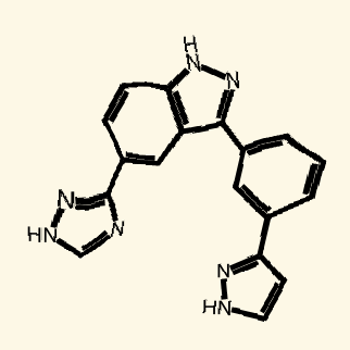 c1cc(-c2cc[nH]n2)cc(-c2n[nH]c3ccc(-c4nc[nH]n4)cc23)c1